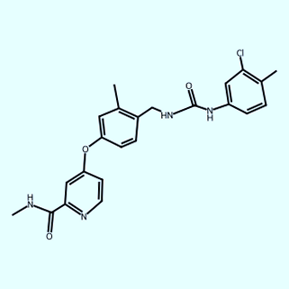 CNC(=O)c1cc(Oc2ccc(CNC(=O)Nc3ccc(C)c(Cl)c3)c(C)c2)ccn1